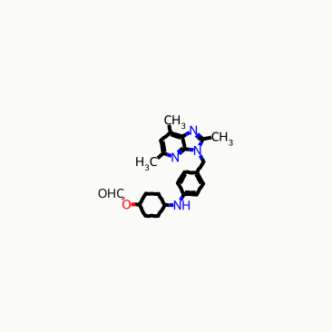 Cc1cc(C)c2nc(C)n(Cc3ccc(NC4CCC(OC=O)CC4)cc3)c2n1